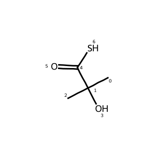 CC(C)(O)C(=O)S